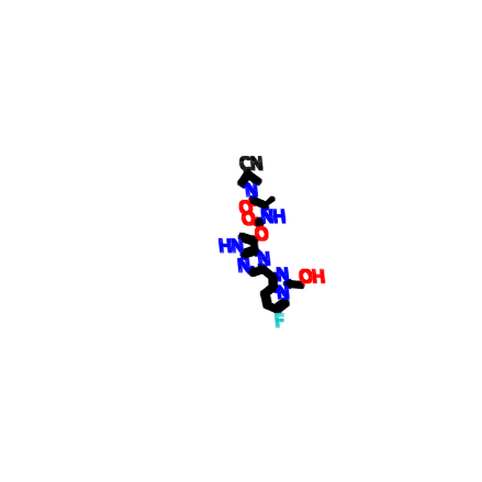 C[C@@H](NC(=O)Oc1c[nH]c2ncc(-c3nc(CO)n4cc(F)ccc34)nc12)C(=O)N1CC(C#N)C1